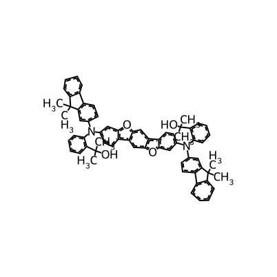 CC(C)(O)c1ccccc1N(c1ccc2c(c1)C(C)(C)c1ccccc1-2)c1ccc2c(c1)oc1cc3c(cc12)oc1cc(N(c2ccc4c(c2)C(C)(C)c2ccccc2-4)c2ccccc2C(C)(C)O)ccc13